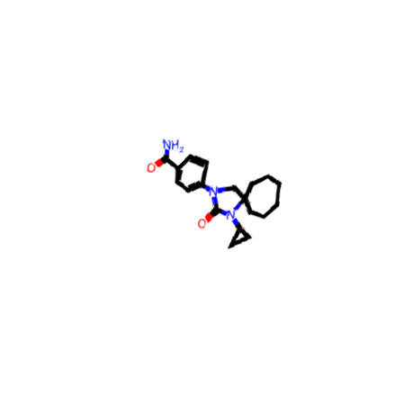 NC(=O)c1ccc(N2CC3(CCCCCC3)N(C3CC3)C2=O)cc1